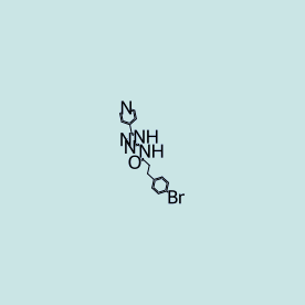 O=C(CCc1ccc(Br)cc1)Nc1nnc(-c2ccncc2)[nH]1